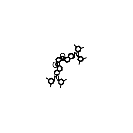 Cc1cc(C)cc(N(c2cc(C)cc(C)c2)c2ccc3c(ccc4c3oc3ccc5oc6c7ccc(N(c8cc(C)cc(C)c8)c8cc(C)cc(C)c8)cc7ccc6c5c34)c2)c1